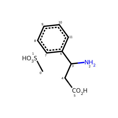 CS(=O)(=O)O.NC(CC(=O)O)c1ccccc1